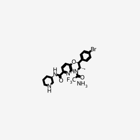 C[C@H](NC(=O)C(F)(F)F)[C@H](Oc1ccc(C(=O)N[C@H]2CCCNC2)nc1)c1ccc(Br)cc1.N